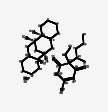 C1CCN2C[C@@H]3C[C@@H](CN4CCCC[C@@H]34)[C@H]2C1.CCCC(C)C1(CC)C(=O)N=C([O-])NC1=O.[Na+]